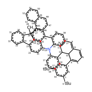 CC(C)(C)c1cc(C2=CC=CC3=CC=CC(c4ccccc4N(c4ccc5c(c4)C(C)(C)c4ccccc4-5)c4ccccc4-c4cccc5c4ccc4ccccc45)C32)cc(C(C)(C)C)c1